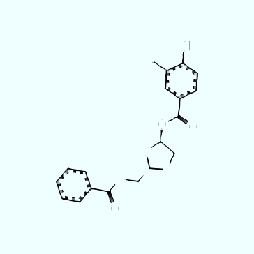 O=C(OC[C@H]1O[C@@H](OC(=O)c2ccc(Cl)c(Cl)c2)CS1)c1ccccc1